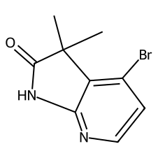 CC1(C)C(=O)Nc2nccc(Br)c21